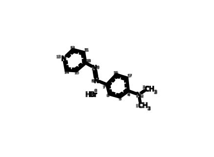 Br.CN(C)c1ccc(N=Nc2ccncc2)cc1